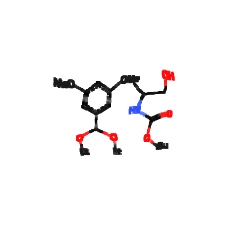 CC(CO)NC(=O)OC(C)(C)C.CCOC(OCC)c1cc(OC)cc(OC)c1